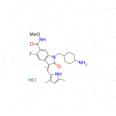 CONC(=O)c1cc2c(cc1F)/C(=C/c1[nH]c(C)cc1C)C(=O)N2CC1CCC(N)CC1.Cl